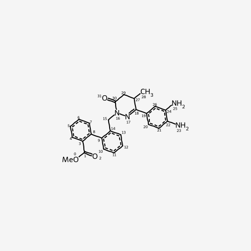 COC(=O)c1ccccc1-c1ccccc1CN1N=C(c2ccc(N)c(N)c2)C(C)CC1=O